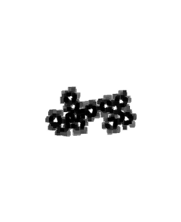 c1ccc(-c2c(-c3ccccc3)c3cc(-c4ccc(N(c5ccc6ccccc6c5)c5cccc6c5oc5c7ccccc7ccc65)cc4)ccc3c3ccccc23)cc1